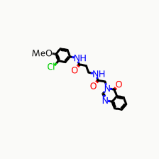 COc1ccc(NC(=O)CCNC(=O)Cn2cnc3ccccc3c2=O)cc1Cl